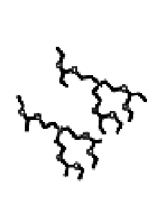 CCOC(C)OCCN(CCOC(C)OCC)CCOC(C)OCC.CCOC(CC)OCCN(CCOC(CC)OCC)CCOC(CC)OCC